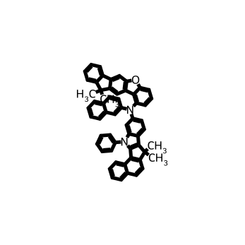 CC1(C)c2ccccc2-c2cc3oc4cccc(N(c5ccc6ccccc6c5)c5ccc6c7c(n(-c8ccccc8)c6c5)-c5c(ccc6ccccc56)C7(C)C)c4c3cc21